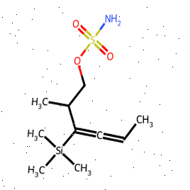 CC=C=C(C(C)COS(N)(=O)=O)[Si](C)(C)C